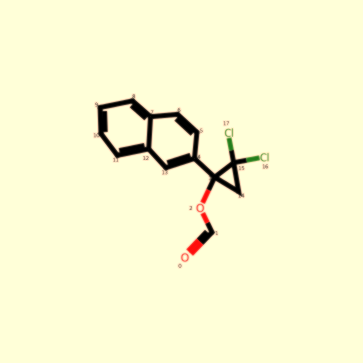 O=COC1(c2ccc3ccccc3c2)CC1(Cl)Cl